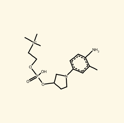 Cc1cc(N2CCC(OP(=O)(O)OCC[N+](C)(C)C)C2)ccc1N